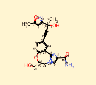 Cc1cc([C@@](C)(O)C#Cc2ccc3c(c2)-c2nc(C(N)=O)cn2C[C@H](CO)O3)no1